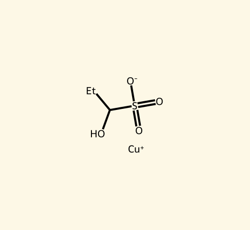 CCC(O)S(=O)(=O)[O-].[Cu+]